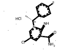 C[C@H](c1ccc(F)cc1)n1cc(Cl)cc(C(N)=O)c1=N.Cl